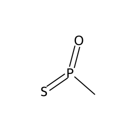 CP(=O)=S